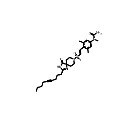 CCCCC#CCCCC1=NC2(CCN(S(=O)(=O)C=Cc3c(C)cc(N(C)C(N)=O)cc3C)CC2)C(=O)N1